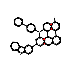 Fc1ccc(-c2cccc3cccc(-c4ccccc4N(c4ccc(-c5ccccc5)cc4)c4cccc(-c5ccc6sc7ccccc7c6c5)c4)c23)cc1